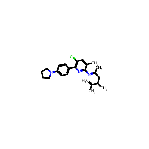 C=C(C)C(C)C/C(C)=N/c1nc(-c2ccc(N3CCCC3)cc2)c(Cl)cc1C